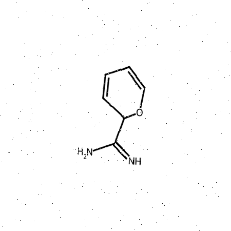 N=C(N)C1C=CC=CO1